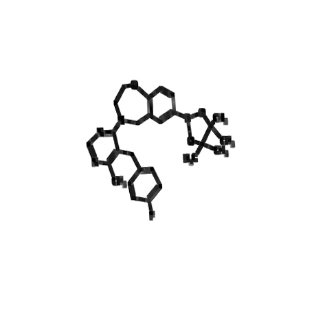 Cc1ncnc(N2CCOc3ccc(B4OC(C)(C)C(C)(C)O4)cc3C2)c1Cc1ccc(F)cc1